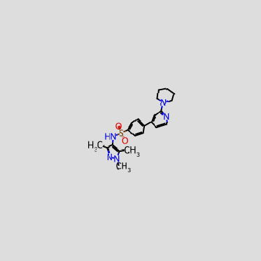 Cc1nn(C)c(C)c1NS(=O)(=O)c1ccc(-c2ccnc(N3CCCCC3)c2)cc1